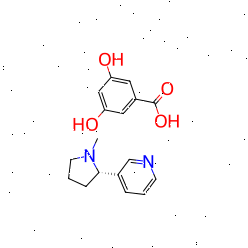 CN1CCC[C@H]1c1cccnc1.O=C(O)c1cc(O)cc(O)c1